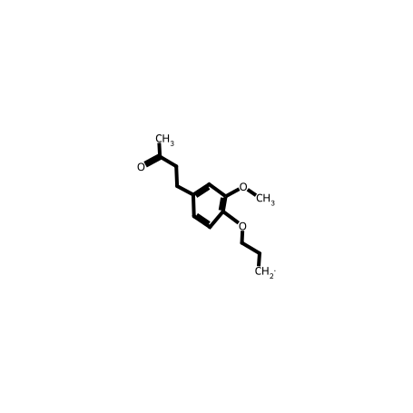 [CH2]CCOc1ccc(CCC(C)=O)cc1OC